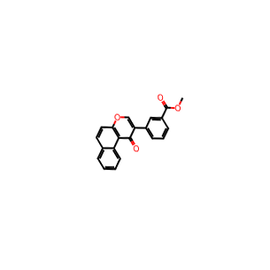 COC(=O)c1cccc(-c2coc3ccc4ccccc4c3c2=O)c1